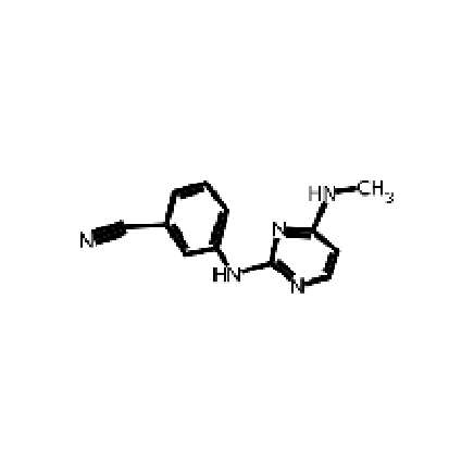 CNc1ccnc(Nc2cccc(C#N)c2)n1